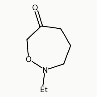 CCN1CCCC(=O)CO1